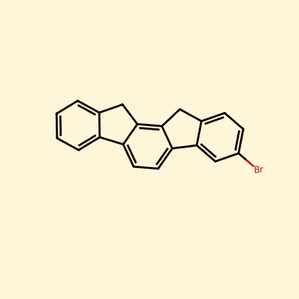 Brc1ccc2c(c1)-c1ccc3c(c1C2)Cc1ccccc1-3